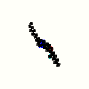 CCCCCCCCCCc1cnc(-c2ccc(OCCC(F)CCCCC)cc2)nc1